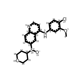 COc1cc(Nc2ccnc3ccc([S+]([O-])C4CCOCC4)cc23)ccc1Cl